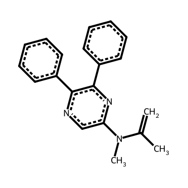 C=C(C)N(C)c1cnc(-c2ccccc2)c(-c2ccccc2)n1